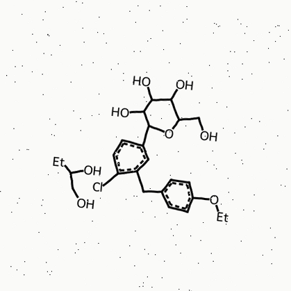 CCC(O)CO.CCOc1ccc(Cc2cc(C3OC(CO)C(O)C(O)C3O)ccc2Cl)cc1